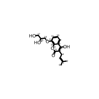 CC(C)=CCc1c(O)c2cccc(OCC(O)CO)c2oc1=O